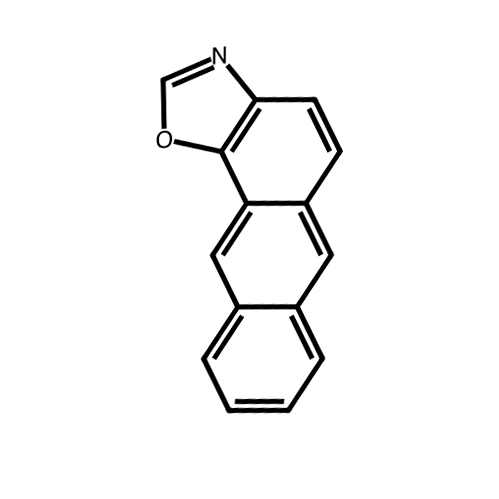 c1ccc2cc3c(ccc4ncoc43)cc2c1